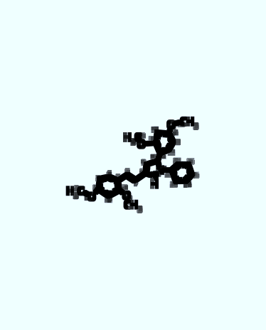 COc1ccc(C=CC2=CC(c3ccc(OC)cc3OC)N(c3ccccc3)N2)c(OC)c1